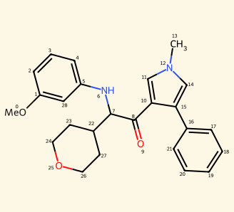 COc1cccc(NC(C(=O)c2cn(C)cc2-c2ccccc2)C2CCOCC2)c1